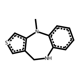 CN1c2cscc2CNc2ccccc21